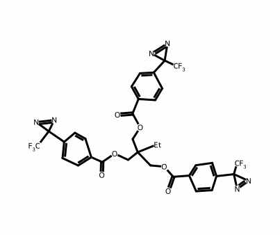 CCC(COC(=O)c1ccc(C2(C(F)(F)F)N=N2)cc1)(COC(=O)c1ccc(C2(C(F)(F)F)N=N2)cc1)COC(=O)c1ccc(C2(C(F)(F)F)N=N2)cc1